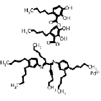 CCCC#CC(=Nc1ccc(CCCCC)c(CCCCC)c1)C(CCCCC)=Nc1ccc(CCCCC)c(CCCCC)c1.CCCCCc1ccc(O)c(O)c1C(=O)[O-].CCCCCc1ccc(O)c(O)c1C(=O)[O-].[Pd+2]